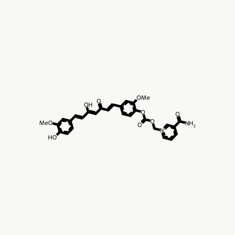 COc1cc(/C=C/C(O)=C/C(=O)/C=C/c2ccc(OC(=O)OC[n+]3cccc(C(N)=O)c3)c(OC)c2)ccc1O